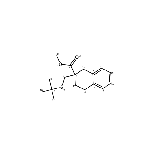 COC(=O)C1(CSC(C)(C)C)CCc2ccccc2C1